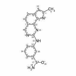 Cc1nc2c(ccc3cnc(Nc4cccc([S+](N)[O-])c4)nc32)s1